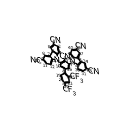 N#Cc1ccc2c(c1)c1cc(C#N)ccc1n2-c1cc(-c2ccc(C(F)(F)F)cc2C(F)(F)F)cc(-n2c3ccc(C#N)cc3c3cc(C#N)ccc32)c1C#N